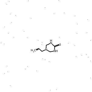 C=CCN1CNC(=S)NC1